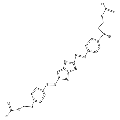 CCC(=O)OCCN(CC)c1ccc(N=Nc2nc3sc(N=Nc4ccc(OCOC(=O)CC)cc4)cc3s2)cc1